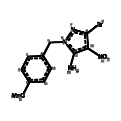 COc1ccc(Cn2nc(Br)c([N+](=O)[O-])c2N)cc1